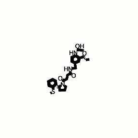 CC[C@H]1OC[C@@H](O)Nc2ccc(CNC(=O)CCC(=O)N3CCC[C@@H]3c3ccccc3SC)cc21